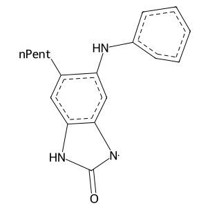 CCCCCc1cc2c(cc1Nc1ccccc1)[N]C(=O)N2